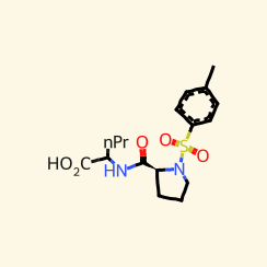 CCCC(NC(=O)[C@@H]1CCCN1S(=O)(=O)c1ccc(C)cc1)C(=O)O